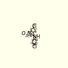 O=[N+]([O-])c1cc(Cl)ccc1NNc1ccc(Cl)cc1